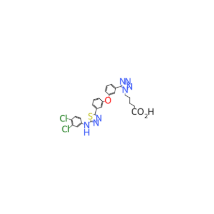 O=C(O)CCCCn1nnnc1-c1cccc(Oc2cccc(-c3nnc(Nc4ccc(Cl)c(Cl)c4)s3)c2)c1